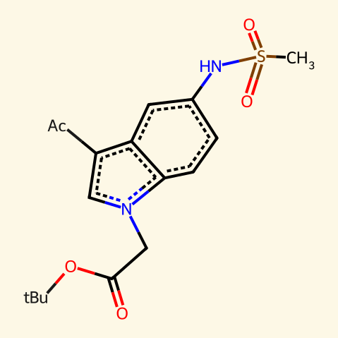 CC(=O)c1cn(CC(=O)OC(C)(C)C)c2ccc(NS(C)(=O)=O)cc12